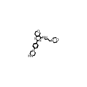 c1cc(N2CCNCC2)ccc1-c1nc2c(c(NCCCN3CCOCC3)n1)COCC2